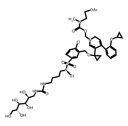 CCN(CCCCNC(=O)NC[C@H](O)[C@@H](O)[C@H](O)[C@H](O)CO)S(=O)(=O)c1ccc(Cl)c(COC2(C3=CN(COC(=O)N(C)CCOC(C)=O)CC=C3c3ccccc3OC3CC3)CC2)c1